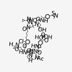 CC(=O)N1CC[C@H]2CC[C@@H](C(=O)N[C@@H](CCC(N)=O)COc3cccc(CCCCC(=O)N4Cc5c(C6CC6)nnn5[C@H](C(=O)N5C[C@H](O)C[C@H]5C(=O)N[C@@H](C)c5ccc(-c6scnc6C)cc5)C(C)(C)C4)c3Cl)N2C(=O)[C@@H](NC(=O)c2cc3cc(C(=O)P(=O)(O)O)ccc3[nH]2)C1